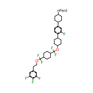 CCCCCC1CCC(c2ccc(C3CCC(OC(F)(F)C4CCC(C(F)(F)OCCc5cc(F)c(F)c(F)c5)CC4)CC3)c(F)c2)CC1